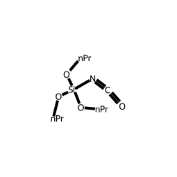 CCCO[Si](N=C=O)(OCCC)OCCC